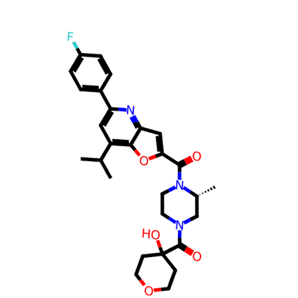 CC(C)c1cc(-c2ccc(F)cc2)nc2cc(C(=O)N3CCN(C(=O)C4(O)CCOCC4)C[C@H]3C)oc12